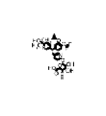 CC(C)(O)c1ccc([C@@H](Cc2ccc(OC3OC(C(=O)O)C(O)C(O)C3O)nc2)c2ccc(OC(F)F)c(OC3CC3)c2)cn1